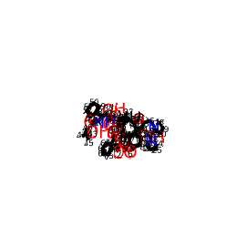 CC(=O)O[C@@]12COC1C[C@H](O)[C@@]1(C)C3CC(CN4CCC[C@@H]4CN4CCCC4)O[C@@H]3C3=C(C)[C@@H](OC(=O)[C@H](O)C(NC(=O)OC(C)(C)C)c4ccccc4)C[C@@](O)([C@@H](OC(=O)c4ccccc4)[C@@H]12)C3(C)C